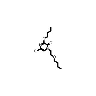 CCCCOCCn1cc(Cl)nc(OCCCC)c1=O